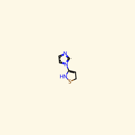 [c]1nccn1C1=CCSN1